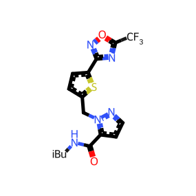 CCC(C)NC(=O)c1ccnn1Cc1ccc(-c2noc(C(F)(F)F)n2)s1